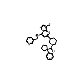 O=C(N1CCCC(c2cc(NCc3cccnc3)n3ncc(Br)c3n2)C1)C1(c2ccccc2)CCCC1